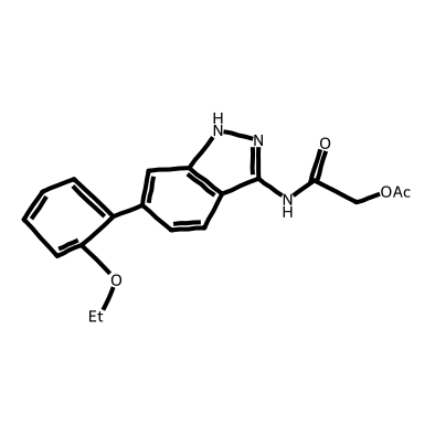 CCOc1ccccc1-c1ccc2c(NC(=O)COC(C)=O)n[nH]c2c1